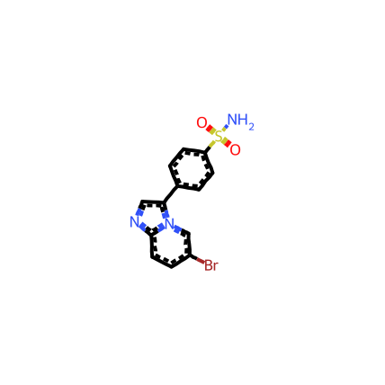 NS(=O)(=O)c1ccc(-c2cnc3ccc(Br)cn23)cc1